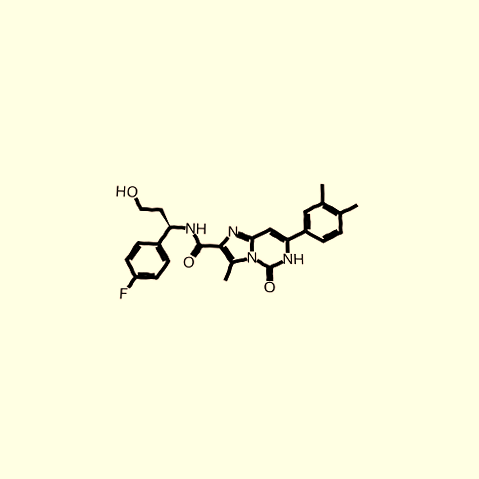 Cc1ccc(-c2cc3nc(C(=O)N[C@H](CCO)c4ccc(F)cc4)c(C)n3c(=O)[nH]2)cc1C